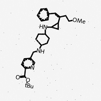 COCCC(=Cc1ccccc1)C1CC1NC1CCC(NCc2ccc(C(=O)OC(C)(C)C)nc2)CC1